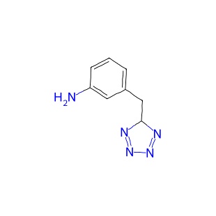 Nc1cccc(CC2N=NN=N2)c1